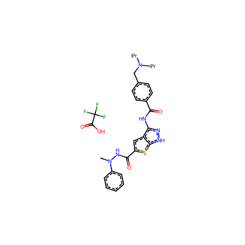 CC(C)N(Cc1ccc(C(=O)Nc2n[nH]c3sc(C(=O)NN(C)c4ccccc4)cc23)cc1)C(C)C.O=C(O)C(F)(F)F